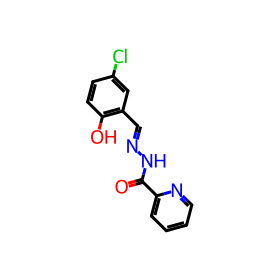 O=C(NN=Cc1cc(Cl)ccc1O)c1ccccn1